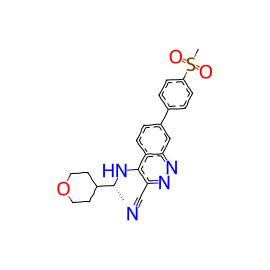 C[C@@H](Nc1c(C#N)nnc2cc(-c3ccc(S(C)(=O)=O)cc3)ccc12)C1CCOCC1